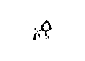 C=C[Si](C)(C)c1ccccc1O